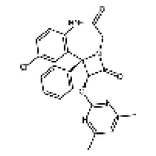 Cc1cc(C)nc(O[C@@H]2C(=O)N3CC(=O)Nc4ccc(Cl)cc4[C@@]23c2ccccc2)n1